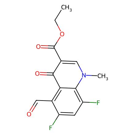 CCOC(=O)c1cn(C)c2c(F)cc(F)c(C=O)c2c1=O